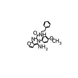 COc1ccc(N2C(N)=c3ccoc3=NC2C(=O)NCCc2ccccc2)cc1